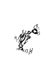 Cc1ccn(-c2cc(-c3cc(Cl)cc(C(F)(F)F)c3)ccc2C(Oc2cc(N3CCC4(CC3)CN[C@H](C(=O)O)C4)nc(N)n2)C(F)(F)F)n1